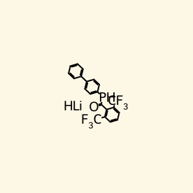 O=C(Pc1ccc(-c2ccccc2)cc1)c1c(C(F)(F)F)cccc1C(F)(F)F.[LiH]